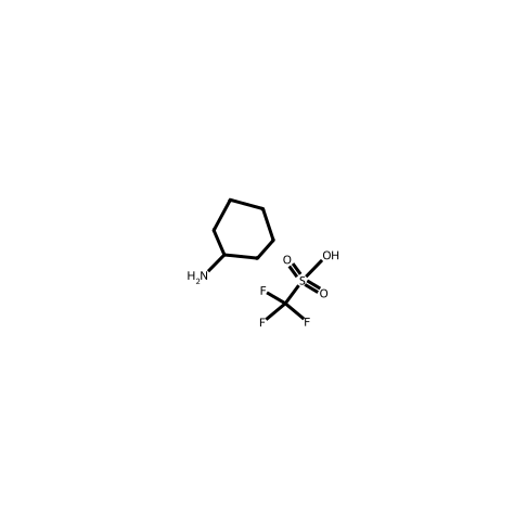 NC1CCCCC1.O=S(=O)(O)C(F)(F)F